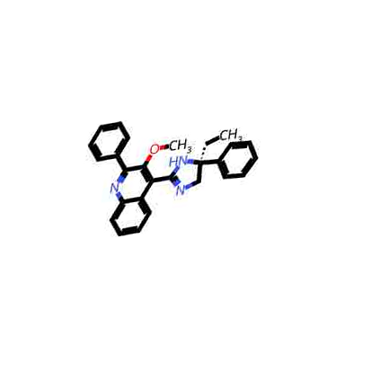 CC[C@]1(c2ccccc2)CN=C(c2c(OC)c(-c3ccccc3)nc3ccccc23)N1